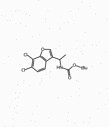 CC(NC(=O)OC(C)(C)C)c1coc2c(Cl)c(Cl)ccc12